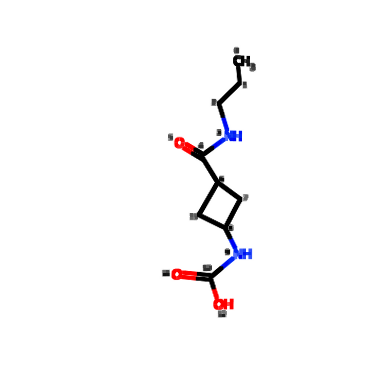 CCCNC(=O)C1CC(NC(=O)O)C1